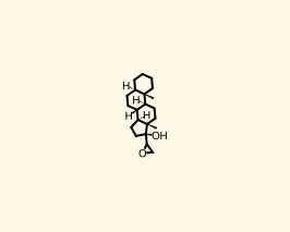 C[C@]12CCCC[C@@H]1CC[C@@H]1[C@@H]2CC[C@@]2(C)[C@H]1CC[C@@]2(O)C1CO1